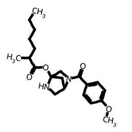 CCCCCC(C)C(=O)OC12CC(CN1)N(C(=O)c1ccc(OC)cc1)C2